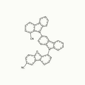 N#Cc1ccc2oc3c(-n4c5ccccc5c5cc(-n6c7ccccc7c7cccc(C#N)c76)ccc54)cccc3c2c1